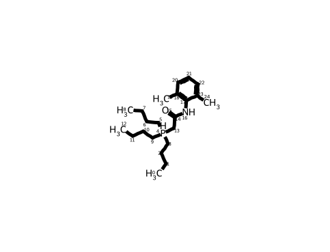 CCCC[PH](CCCC)(CCCC)CC(=O)Nc1c(C)cccc1C